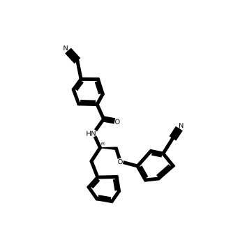 N#Cc1ccc(C(=O)N[C@@H](COc2cccc(C#N)c2)Cc2ccccc2)cc1